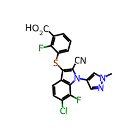 Cn1cc(-n2c(C#N)c(Sc3cccc(C(=O)O)c3F)c3ccc(Cl)c(F)c32)cn1